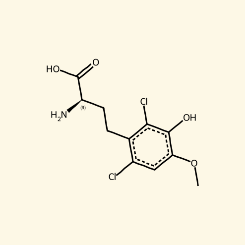 COc1cc(Cl)c(CC[C@@H](N)C(=O)O)c(Cl)c1O